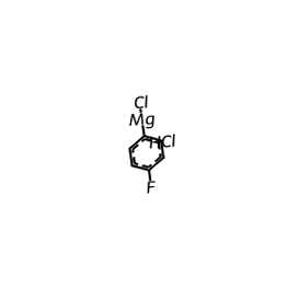 Cl.Fc1cc[c]([Mg][Cl])cc1